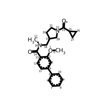 COc1cc(-c2ccccc2)ccc1C(=O)N(C)CC1CCN(C(=O)C2CC2)C1